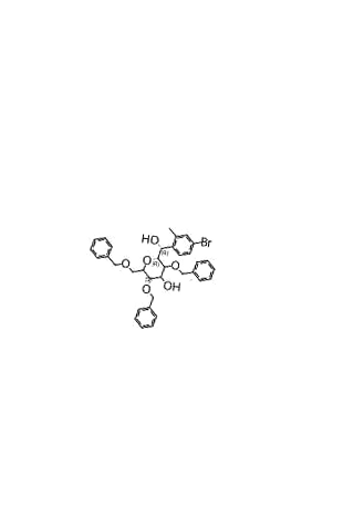 Cc1cc(Br)ccc1[C@@H](O)[C@H]1OC(COCc2ccccc2)[C@@H](OCc2ccccc2)C(O)C1OCc1ccccc1